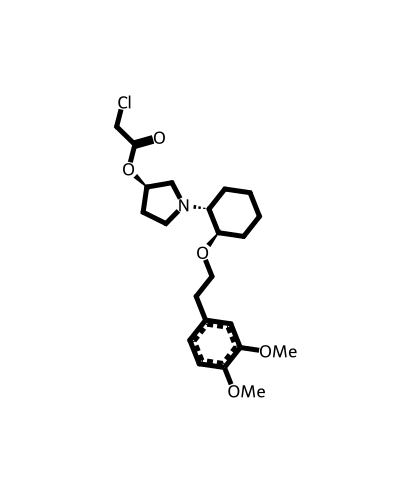 COc1ccc(CCO[C@@H]2CCCC[C@H]2N2CC[C@@H](OC(=O)CCl)C2)cc1OC